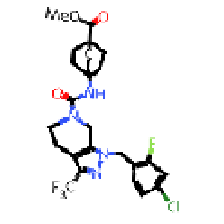 COC(=O)C12CCC(NC(=O)N3CCc4c(C(F)(F)F)nn(Cc5ccc(Cl)cc5F)c4C3)(CC1)CC2